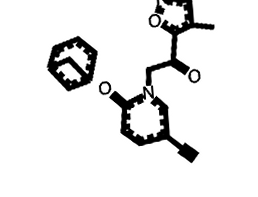 C#Cc1ccc(=O)n(CC(=O)c2oncc2C)c1.c1cc2cc(c1)C2